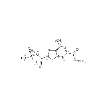 COC(=O)c1cc(C)c2c(n1)CN(C(=O)OC(C)(C)C)C2